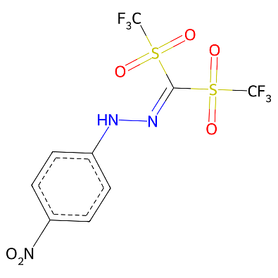 O=[N+]([O-])c1ccc(NN=C(S(=O)(=O)C(F)(F)F)S(=O)(=O)C(F)(F)F)cc1